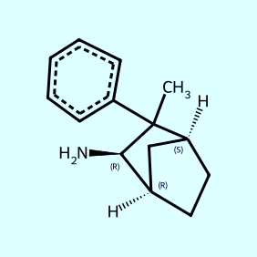 CC1(c2ccccc2)[C@H]2CC[C@H](C2)[C@H]1N